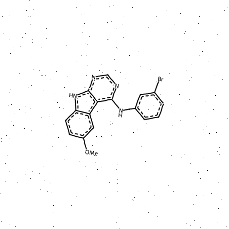 COc1ccc2[nH]c3ncnc(Nc4cccc(Br)c4)c3c2c1